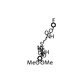 COc1ccc(S(=O)(=O)Nc2nnc(SCCCCNC(=O)COCc3ccc(F)cc3)s2)cc1OC